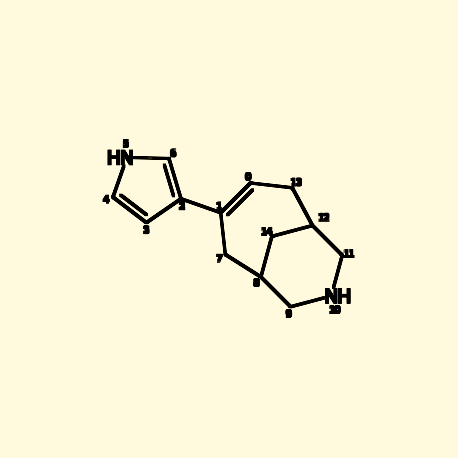 C1=C(c2cc[nH]c2)CC2CNCC(C1)C2